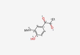 CCC(=O)C(=O)c1ccc(O)c(OC)c1